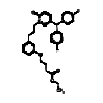 CCOC(=O)CCCOc1cccc(CCCn2nc(C(c3ccc(F)cc3)c3ccc(F)cc3)ccc2=O)c1